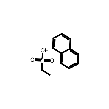 CCS(=O)(=O)O.c1ccc2ccccc2c1